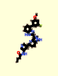 CCCC(=O)Nc1cncc(-c2ccc3[nH]nc(-c4nc5c(-c6cc(F)cc(OC)c6)cccc5[nH]4)c3n2)c1